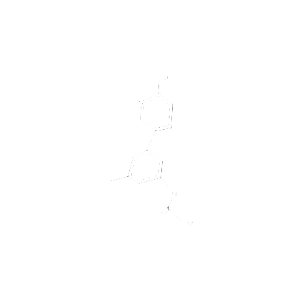 COC(=O)Nc1cc(Br)cc(-c2ccc(OC)nc2)c1